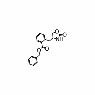 O=C1NC(Cc2ccccc2C(=O)OCc2ccccc2)CO1